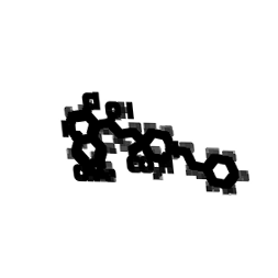 COc1ccc2ncc(Cl)c([C@@H](O)CCC3(CC(=O)O)CCN(CCC4CCCCC4)CC3)c2c1